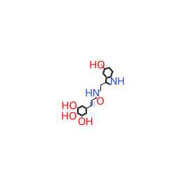 O=C(/C=C/c1cc(O)c(O)c(O)c1)NCCc1c[nH]c2ccc(O)cc12